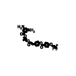 CC(C)(COC(=O)C=Cc1ccc(OC(=O)c2ccc(OCCC(F)(F)F)cc2)cc1)COC(=O)c1cc(N)cc(N)c1